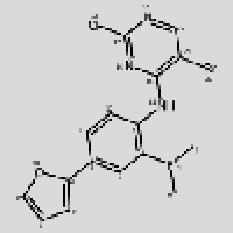 CP(C)c1cc(-c2ccco2)ccc1Nc1nc(Cl)ncc1Br